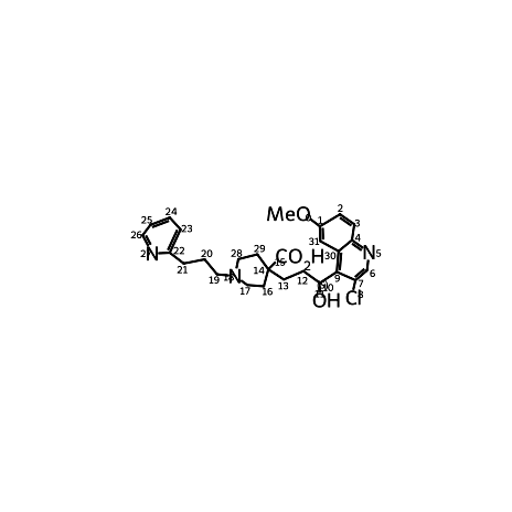 COc1ccc2ncc(Cl)c([C@@H](O)CCC3(C(=O)O)CCN(CCCc4ccccn4)CC3)c2c1